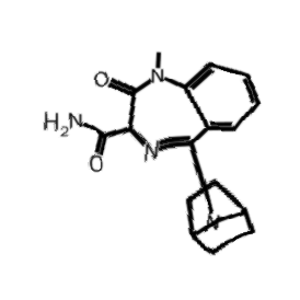 CN1C(=O)C(C(N)=O)N=C(N2CC3CCC(CC3)C2)c2ccccc21